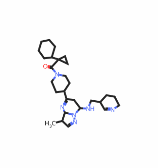 CC1C=NN2C(NCC3C=NCCC3)CC(C3CCN(C(=O)C4(C5CCCCC5)CC4)CC3)=NC12